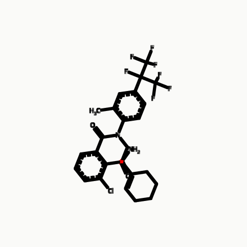 Cc1cc(C(F)(C(F)(F)F)C(F)(F)F)ccc1N(CCC1=CCCCC1)C(=O)c1cccc(Cl)c1C(N)=O